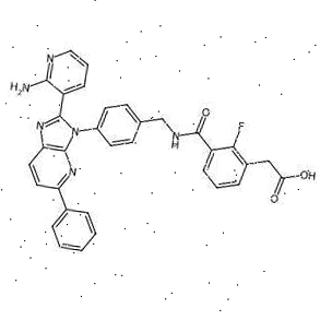 Nc1ncccc1-c1nc2ccc(-c3ccccc3)nc2n1-c1ccc(CNC(=O)c2cccc(CC(=O)O)c2F)cc1